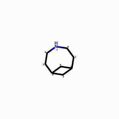 C1CC2CC(CCN1)C2